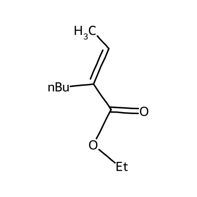 C/C=C(\CCCC)C(=O)OCC